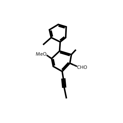 CC#Cc1cc(OC)c(-c2ccccc2C)c(C)c1C=O